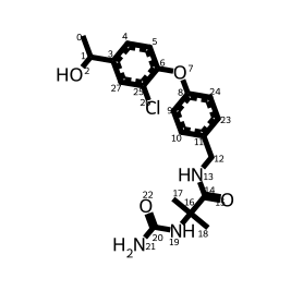 CC(O)c1ccc(Oc2ccc(CNC(=O)C(C)(C)NC(N)=O)cc2)c(Cl)c1